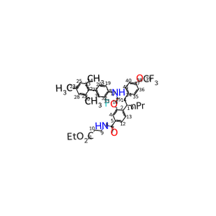 CCC[C@@H](c1ccc(C(=O)NCCC(=O)OCC)cc1)[C@H](C(=O)Nc1ccc(-c2c(C)cc(C)cc2C)cc1F)c1ccc(OC(F)(F)F)cc1